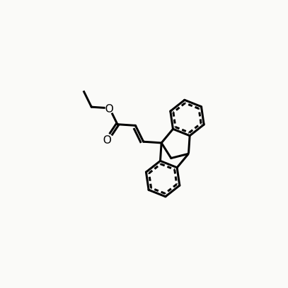 CCOC(=O)C=CC12CC(c3ccccc31)c1ccccc12